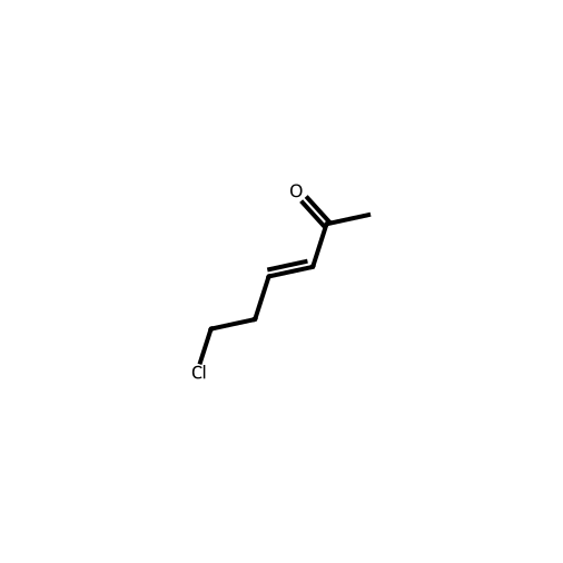 CC(=O)/C=C/CCCl